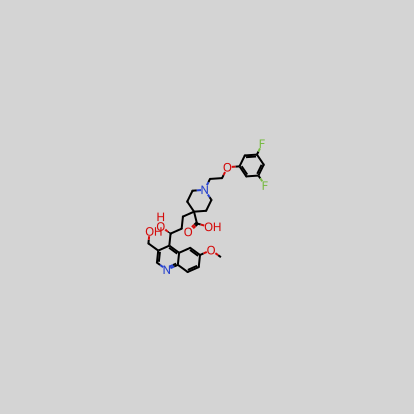 COc1ccc2ncc(CO)c([C@@H](O)CCC3(C(=O)O)CCN(CCOc4cc(F)cc(F)c4)CC3)c2c1